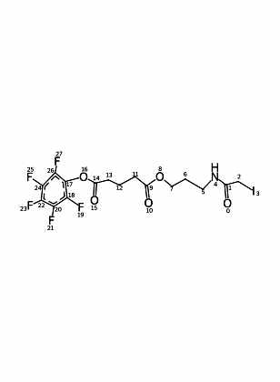 O=C(CI)NCCCOC(=O)CCCC(=O)Oc1c(F)c(F)c(F)c(F)c1F